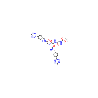 Cc1nnc(-c2ccc(CNC(=O)CN(CC(=O)NCc3ccc(-c4nnc(C)nn4)cc3)C(=O)CNC(=O)CNC(=O)OC(C)(C)C)cc2)nn1